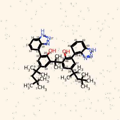 CC(C)(C)CC(C)(C)c1cc(-c2cccc3[nH]nnc23)c(O)c(C(C)(C)c2cc(C(C)(C)CC(C)(C)C)cc(-c3cccc4[nH]nnc34)c2O)c1